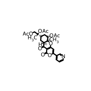 CC(=O)OCC(C)(OC(C)=O)[C@@H]1C[C@H](OC(C)=O)[C@@]2(C)Oc3cc(-c4cccnc4)oc(=O)c3C(=O)[C@@H]2C1